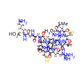 CSCC[C@H](NC(=O)[C@H](C)N)C(=O)N[C@@H](CS)C(=O)N[C@H](C(=O)N1CCC[C@H]1C(=O)N[C@@H](CCCNC(=N)N)C(=O)N[C@@H](CS)C(=O)N[C@@H](CC(C)C)C(=O)N[C@@H](Cc1c[nH]c2ccccc12)C(=O)NCC(=O)NCC(=O)N[C@@H](CCCCN)C(=O)O)C(C)C